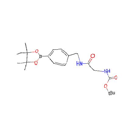 CC(C)(C)OC(=O)NCC(=O)NCc1ccc(B2OC(C)(C)C(C)(C)O2)cc1